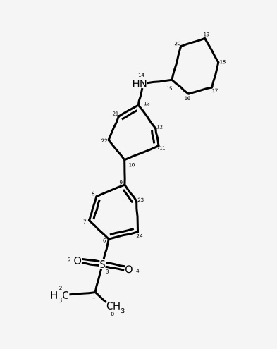 CC(C)S(=O)(=O)c1ccc(C2[C]=CC(NC3CCCCC3)=CC2)cc1